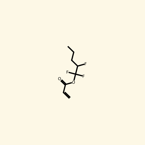 C=CC(=O)OC(F)(F)C(F)CCC